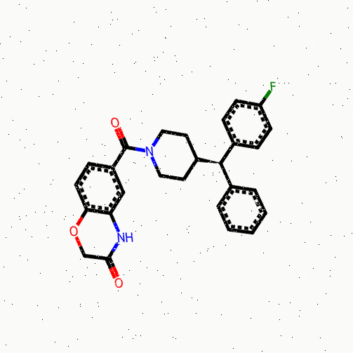 O=C1COc2ccc(C(=O)N3CCC([C@H](c4ccccc4)c4ccc(F)cc4)CC3)cc2N1